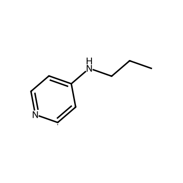 CCCNc1c[c]ncc1